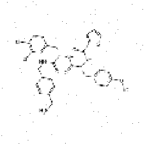 CCOc1ccc(C[C@@H](NC(=O)c2cccs2)C(=O)N[C@@H](Cc2ccc(Cl)c(Cl)c2)C(=O)NCc2ccc(CN)cc2)cc1